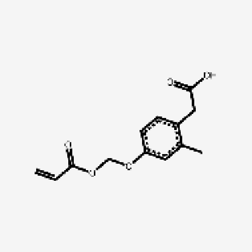 C=CC(=O)OCOc1ccc(CC(=O)O)c(C)c1